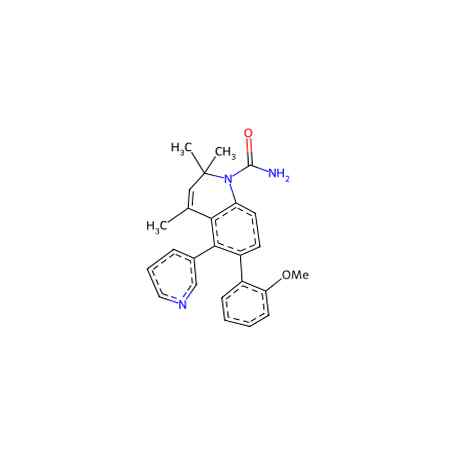 COc1ccccc1-c1ccc2c(c1-c1cccnc1)C(C)=CC(C)(C)N2C(N)=O